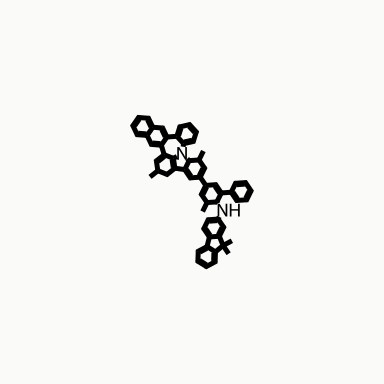 CC1C=C2C3=C(C1)C1=CC(C4=CC(C)C(Nc5ccc6c(c5)C(C)(C)c5ccccc5-6)C(c5ccccc5)=C4)=CC(C)C1N3c1ccccc1-c1cc3ccccc3cc12